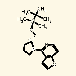 CC(C)(C)[Si](C)(C)OC[C@H]1CCCN1c1nccc2occc12